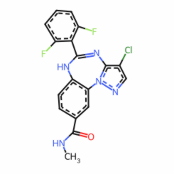 CNC(=O)c1ccc2c(c1)-n1ncc(Cl)c1N=C(c1c(F)cccc1F)N2